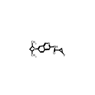 CC1CC(C)N1c1ccc2cc(NC(=O)C3CC3F)ncc2c1